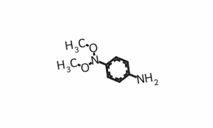 CON(OC)c1ccc(N)cc1